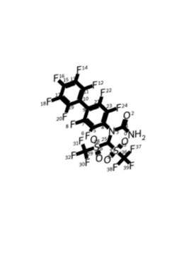 NC(=O)N(c1c(F)c(F)c(-c2c(F)c(F)c(F)c(F)c2F)c(F)c1F)C(S(=O)(=O)C(F)(F)F)S(=O)(=O)C(F)(F)F